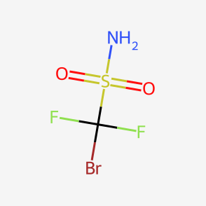 NS(=O)(=O)C(F)(F)Br